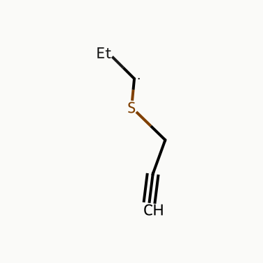 C#CCS[CH]CC